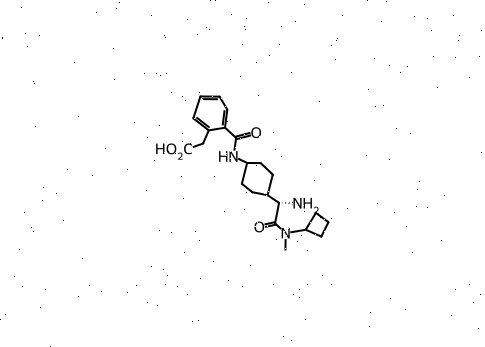 CN(C(=O)[C@@H](N)C1CCC(NC(=O)c2ccccc2CC(=O)O)CC1)C1CCC1